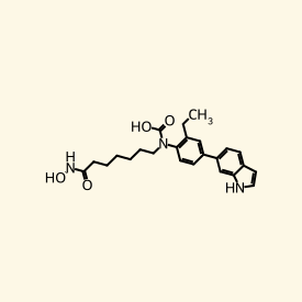 CCc1cc(-c2ccc3cc[nH]c3c2)ccc1N(CCCCCCC(=O)NO)C(=O)O